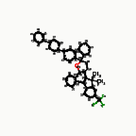 CC1(C)c2cc(C(F)(F)F)ccc2-c2c1c1c(c3ccccc23)OC(c2ccccc2)(c2ccc(-c3ccc(-c4ccccc4)cc3)cc2)C=C1